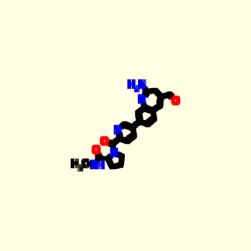 CNC(=O)[C@@H]1CCCN1C(=O)c1ccc(-c2ccc3c(c2)N=C(N)CC(C=O)=C3)cn1